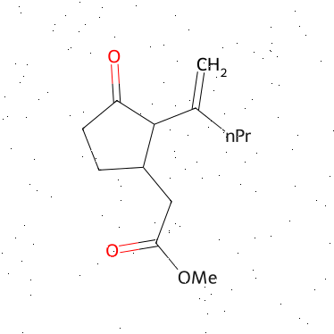 C=C(CCC)C1C(=O)CCC1CC(=O)OC